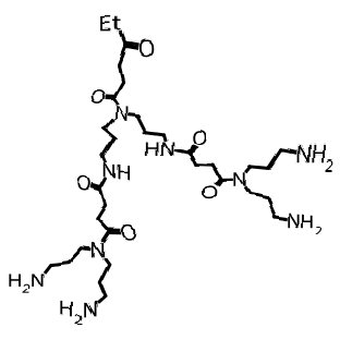 CCC(=O)CCC(=O)N(CCCNC(=O)CCC(=O)N(CCCN)CCCN)CCCNC(=O)CCC(=O)N(CCCN)CCCN